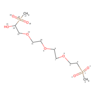 CS(=O)(=O)CCOCCOCCOCC(O)S(C)(=O)=O